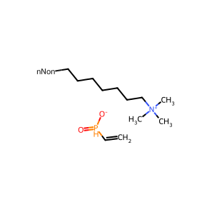 C=C[PH](=O)[O-].CCCCCCCCCCCCCCCC[N+](C)(C)C